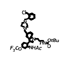 CC(=O)Nc1cc(OC(F)(F)F)ccc1-c1cn(CCCNC(=O)OC(C)(C)C)c2ccc(CN3CCN(Cc4ccccc4Cl)CC3)cc12